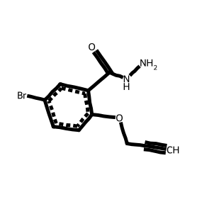 C#CCOc1ccc(Br)cc1C(=O)NN